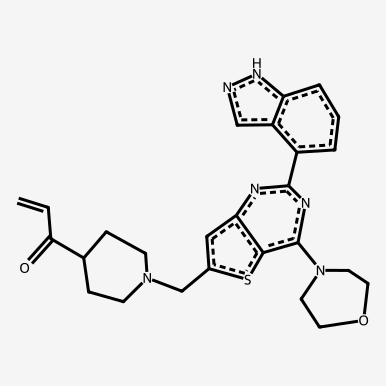 C=CC(=O)C1CCN(Cc2cc3nc(-c4cccc5[nH]ncc45)nc(N4CCOCC4)c3s2)CC1